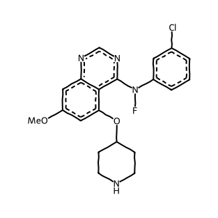 COc1cc(OC2CCNCC2)c2c(N(F)c3cccc(Cl)c3)ncnc2c1